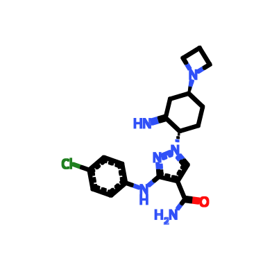 N=C1C[C@@H](N2CCC2)CC[C@@H]1n1cc(C(N)=O)c(Nc2ccc(Cl)cc2)n1